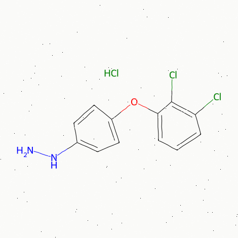 Cl.NNc1ccc(Oc2cccc(Cl)c2Cl)cc1